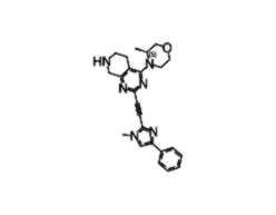 C[C@H]1COCCN1c1nc(C#Cc2nc(-c3ccccc3)cn2C)nc2c1CCNC2